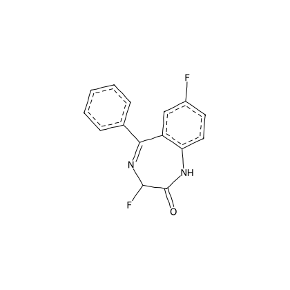 O=C1Nc2ccc(F)cc2C(c2ccccc2)=NC1F